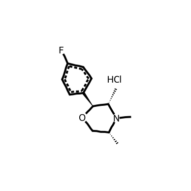 C[C@@H]1CO[C@@H](c2ccc(F)cc2)[C@H](C)N1C.Cl